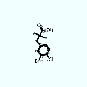 CC(C)(Cc1ccc(Cl)c(Br)c1)C(=O)O